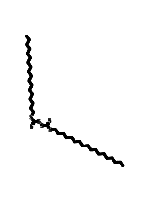 CCCCCCCCCCCCCCCCCCSC(=S)SSC(=S)SCCCCCCCCCCCCCCCCCC